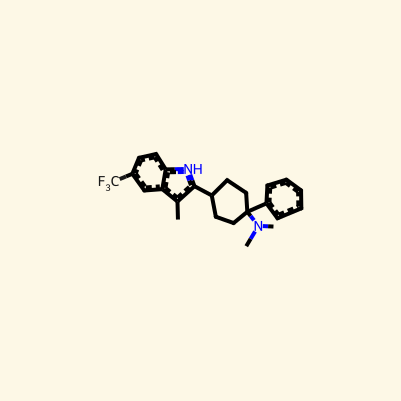 Cc1c(C2CCC(c3ccccc3)(N(C)C)CC2)[nH]c2ccc(C(F)(F)F)cc12